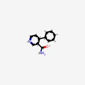 NC(=O)c1cnccc1-c1ccccc1